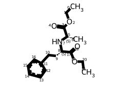 CCOC(=O)[C@H](C)N[C@@H](CCc1ccccc1)C(=O)OCC